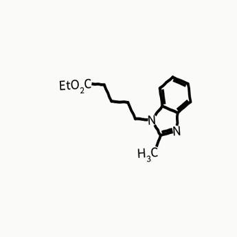 CCOC(=O)CCCCn1c(C)nc2ccccc21